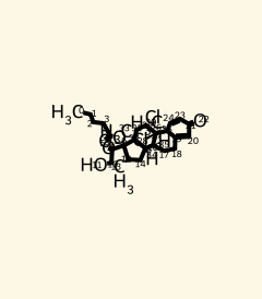 CCCCC(=O)O[C@]1(C(=O)CO)[C@H](C)C[C@H]2[C@@H]3CCC4=CC(=O)C=C[C@]4(C)[C@@]3(Cl)[C@@H](Cl)C[C@@]21C